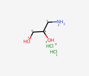 Cl.Cl.NCC(O)CO